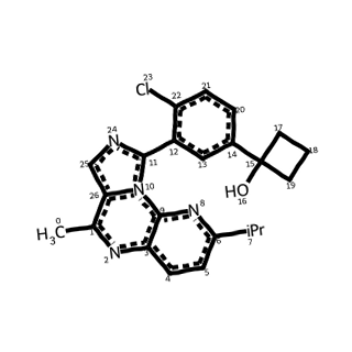 Cc1nc2ccc(C(C)C)nc2n2c(-c3cc(C4(O)CCC4)ccc3Cl)ncc12